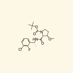 CO[C@@H]1CCN(C(=O)OC(C)(C)C)[C@@H]1C(=O)N[C@H](C)c1cccc(Cl)c1F